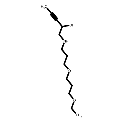 CC#CC(O)CNCCCOCCCOCC